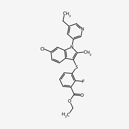 CCOC(=O)c1cccc(Sc2c(C)n(-c3cncc(CC)c3)c3cc(Cl)ccc23)c1F